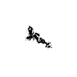 CC(C)(C)OC(=O)N1CC2(CCN(c3nccc(Nc4ccn(C5CCCC5)n4)n3)C2)C1